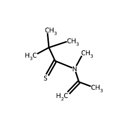 C=C(C)N(C)C(=S)C(C)(C)C